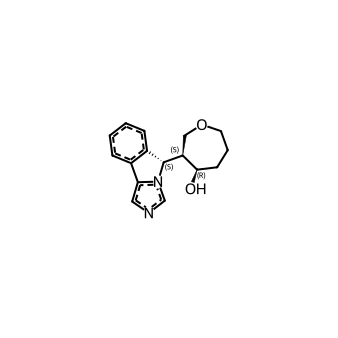 O[C@@H]1CCCOC[C@@H]1[C@H]1c2ccccc2-c2cncn21